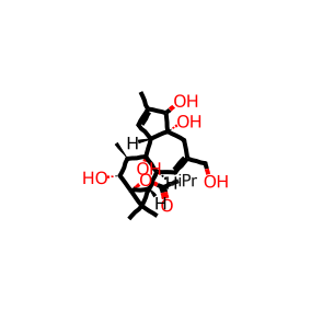 CC1=C[C@H]2[C@@]3(O)[C@H](C)[C@@H](O)[C@]4(OC(=O)C(C)C)[C@H]([C@@H]3C=C(CO)C[C@]2(O)C1O)C4(C)C